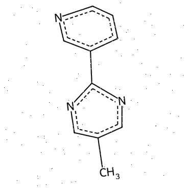 Cc1cnc(-c2cccnc2)nc1